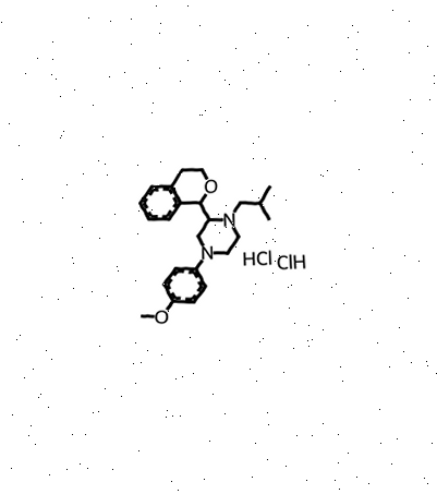 COc1ccc(N2CCN(CC(C)C)C(C3OCCc4ccccc43)C2)cc1.Cl.Cl